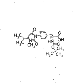 CC(C)c1cc(=O)n(-c2ccc(C[C@H](NC(=O)OC(C)(C)C)C(=O)O)cc2)c(=O)n1C